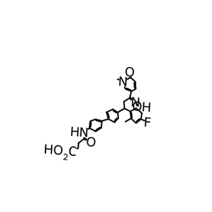 CC1=C(C(C/C(=N\O)c2ccc(=O)n(C)c2)c2ccc(-c3ccc(NC(=O)CCC(=O)O)cc3)cc2)CCC(F)=C1